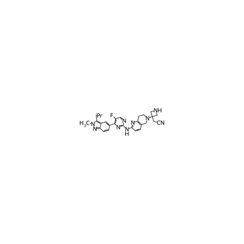 CC(C)c1c2cc(-c3nc(Nc4ccc5c(n4)CCN(C4(CC#N)CNC4)C5)ncc3F)ccc2nn1C